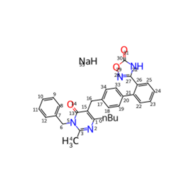 CCCCc1nc(C)n(Cc2ccccc2)c(=O)c1Cc1ccc(-c2ccccc2-c2noc(=O)[nH]2)cc1.[NaH]